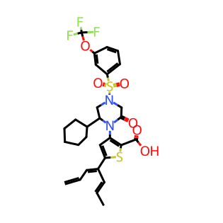 C=CC=C(C=CC)c1cc(N2C(=O)CN(S(=O)(=O)c3cccc(OC(F)(F)F)c3)CC2C2CCCCC2)c(C(=O)O)s1